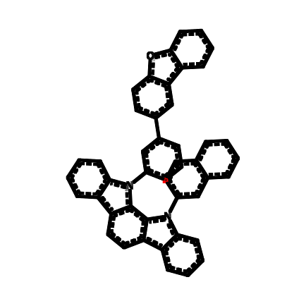 c1cc(-c2ccc3oc4ccccc4c3c2)cc(-n2c3ccccc3c3ccc4c5ccccc5n(-c5ccc6ccccc6c5)c4c32)c1